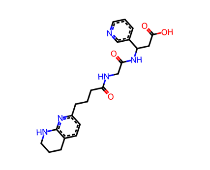 O=C(O)CC(NC(=O)CNC(=O)CCCc1ccc2c(n1)NCCC2)c1cccnc1